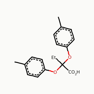 CCC(Oc1ccc(C)cc1)(Oc1ccc(C)cc1)C(=O)O